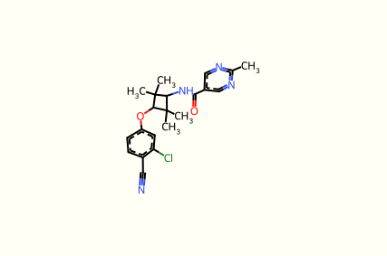 Cc1ncc(C(=O)NC2C(C)(C)C(Oc3ccc(C#N)c(Cl)c3)C2(C)C)cn1